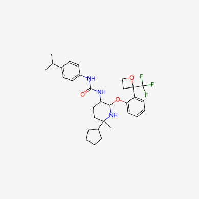 CC(C)c1ccc(NC(=O)NC2CCC(C)(C3CCCC3)NC2Oc2ccccc2C2(C(F)(F)F)CCO2)cc1